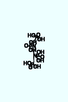 O=P(O)(O)CCN(CCN(CCP(=O)(O)O)P(=O)(O)O)P(=O)(O)O